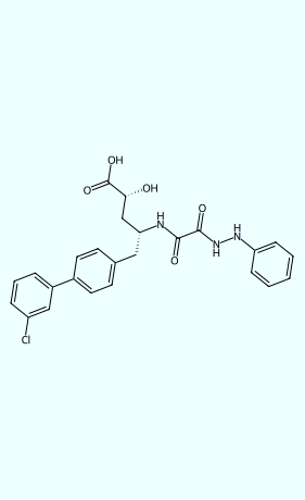 O=C(NNc1ccccc1)C(=O)N[C@H](Cc1ccc(-c2cccc(Cl)c2)cc1)C[C@@H](O)C(=O)O